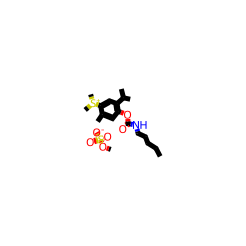 CCCCCNC(=O)Oc1cc(C)c([S+](C)C)cc1C(C)C.COS(=O)(=O)[O-]